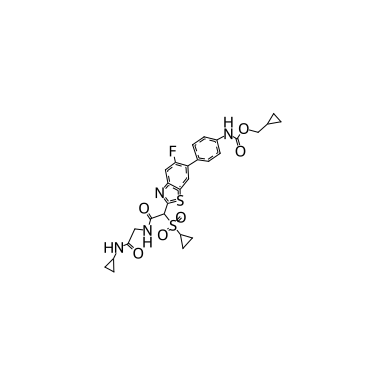 O=C(CNC(=O)C(c1nc2cc(F)c(-c3ccc(NC(=O)OCC4CC4)cc3)cc2s1)S(=O)(=O)C1CC1)NC1CC1